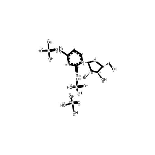 Nc1ccn([C@@H]2O[C@H](CO)[C@@H](O)[C@@H]2Br)c(=O)n1.O=P(O)(O)O.O=P(O)(O)O.O=P(O)(O)O